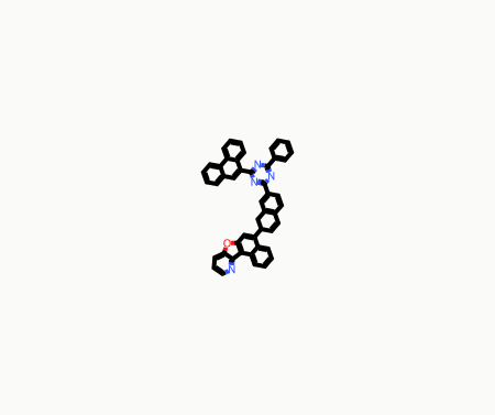 C1=CC(c2cc3oc4cccnc4c3c3ccccc23)Cc2cc(-c3nc(-c4ccccc4)nc(-c4cc5ccccc5c5ccccc45)n3)ccc21